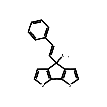 CC1(C=Cc2ccccc2)c2ccsc2-c2sccc21